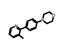 Cc1cccnc1-c1ccc(N2CCOCC2)cc1